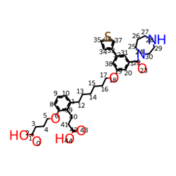 O=C(O)CCCOc1cccc(CCCCCCOc2cc(C(=O)N3CCCNCC3)cc(-c3ccsc3)c2)c1CCC(=O)O